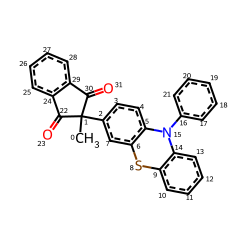 CC1(c2ccc3c(c2)Sc2ccccc2N3c2ccccc2)C(=O)c2ccccc2C1=O